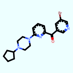 O=C(c1cncc(Br)c1)c1cccc(N2CCN(C3CCCC3)CC2)n1